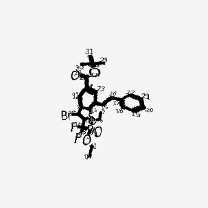 CCOP(=O)(OCC)C(F)(F)c1sc2c(/C=C/c3ccccc3)cc(C(=O)OC(C)(C)C)cc2c1Br